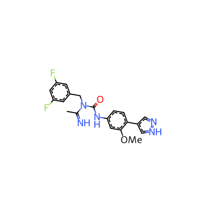 COc1cc(NC(=O)N(Cc2cc(F)cc(F)c2)C(C)=N)ccc1-c1cn[nH]c1